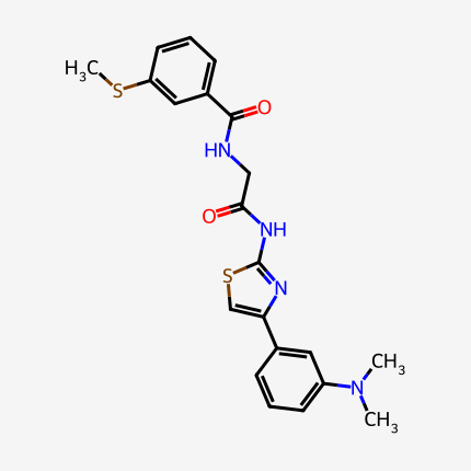 CSc1cccc(C(=O)NCC(=O)Nc2nc(-c3cccc(N(C)C)c3)cs2)c1